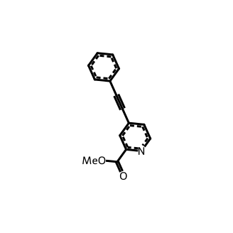 COC(=O)c1cc(C#Cc2ccccc2)ccn1